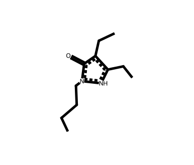 CCCCn1[nH]c(CC)c(CC)c1=O